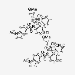 COCCCNC1(c2ccccc2Cl)C(=O)N(S(=O)(=O)c2ccc3c(c2)CCN3C(C)=O)c2ccc(Cl)cc21.COCCCNC1(c2ccccc2Cl)C(=O)N(S(=O)(=O)c2ccc3c(c2)CCN3C(C)=O)c2ccc(Cl)cc21.O